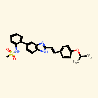 CS(=O)(=O)Nc1ccccc1-c1ccc2[nH]c(/C=C/c3ccc(OC(C(F)(F)F)C(F)(F)F)cc3)nc2c1